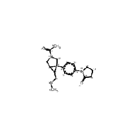 COCC1C2CN(C(C)=O)CC12c1ccc(N2CCCC2=O)cc1